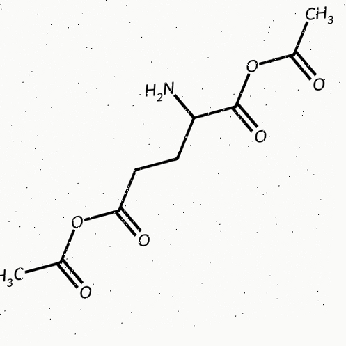 CC(=O)OC(=O)CCC(N)C(=O)OC(C)=O